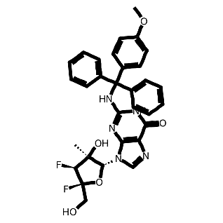 COc1ccc(C(Nc2nc3c(ncn3[C@@H]3O[C@](F)(CO)[C@@H](F)[C@@]3(C)O)c(=O)[nH]2)(c2ccccc2)c2ccccc2)cc1